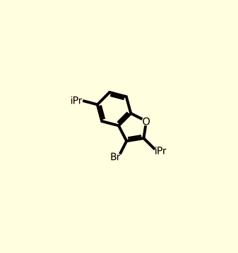 CC(C)c1ccc2oc(C(C)C)c(Br)c2c1